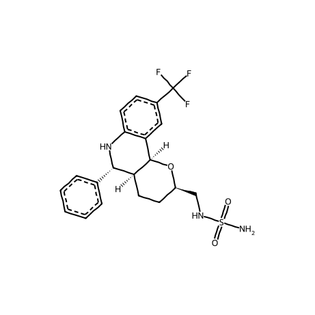 NS(=O)(=O)NC[C@H]1CC[C@@H]2[C@H](O1)c1cc(C(F)(F)F)ccc1N[C@H]2c1ccccc1